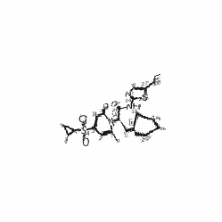 Cc1cc(S(=O)(=O)C2CC2)cc(=O)n1[C@H](CC1CCCC1)C(=O)Nc1ncc(F)s1